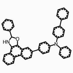 c1ccc(-c2ccc(N(c3ccccc3)c3ccc(-c4ccc5c(c4)c4c(c6ccccc65)NC(c5ccccc5)O4)cc3)cc2)cc1